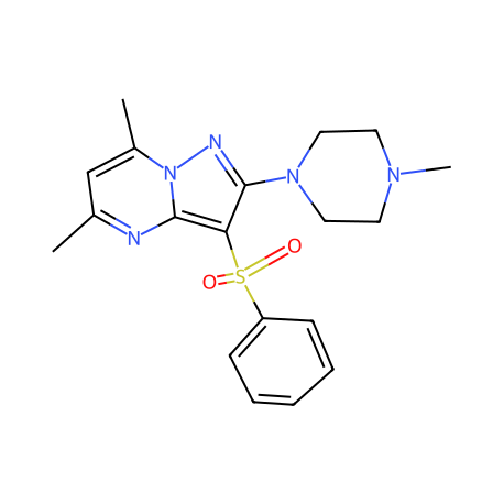 Cc1cc(C)n2nc(N3CCN(C)CC3)c(S(=O)(=O)c3ccccc3)c2n1